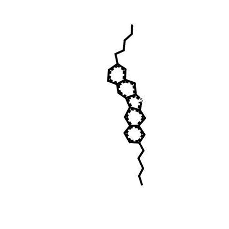 CCCCCc1ccc2cc3c(cc2c1)sc1cc2cc(CCCCC)ccc2cc13